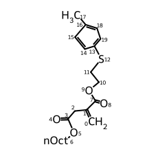 C=C(CC(=O)OCCCCCCCC)C(=O)OCCSc1ccc(C)cc1